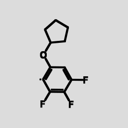 Fc1[c]c(OC2CCCC2)cc(F)c1F